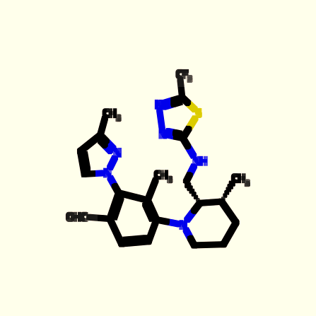 Cc1ccn(-c2c(C=O)ccc(N3CCC[C@@H](C)[C@H]3CNc3nnc(C(F)(F)F)s3)c2C)n1